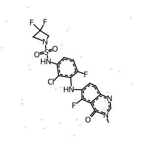 Cn1cnc2ccc(Nc3c(F)ccc(NS(=O)(=O)N4CC(F)(F)C4)c3Cl)c(F)c2c1=O